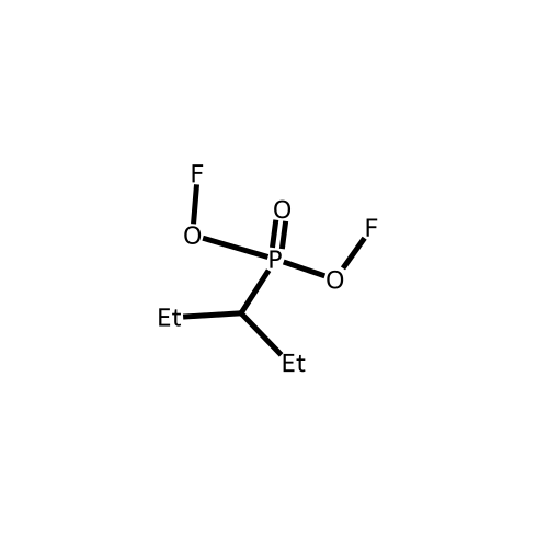 CCC(CC)P(=O)(OF)OF